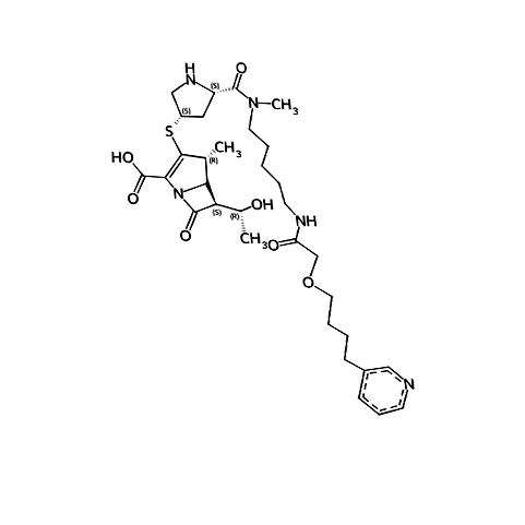 C[C@H]1C(S[C@@H]2CN[C@H](C(=O)N(C)CCCCCNC(=O)COCCCCc3cccnc3)C2)=C(C(=O)O)N2C(=O)[C@H]([C@@H](C)O)C12